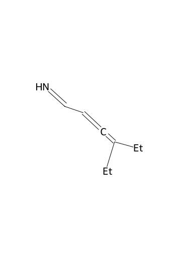 CCC(=C=CC=N)CC